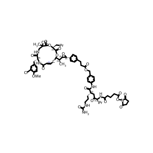 COc1ccc(C[C@H]2NC(=O)/C=C/CC([C@H](C)[C@H]3O[C@@H]3c3ccc(CCC(=O)OCc4ccc(NC(=O)[C@@H](CCCNC(N)=O)CC(=O)[C@@H](NC(=O)CCCC(=O)ON5C(=O)CCC5=O)C(C)C)cc4)cc3)OC(=O)[C@H](CC(C)C)OC(=O)C(C)(C)CNC2=O)cc1Cl